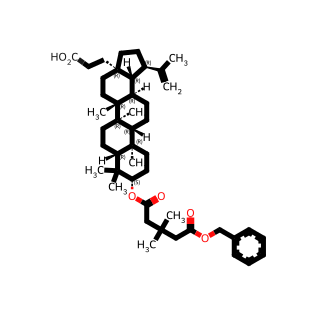 C=C(C)[C@@H]1CC[C@]2(CCC(=O)O)CC[C@]3(C)[C@H](CC[C@@H]4[C@@]5(C)CC[C@H](OC(=O)CC(C)(C)CC(=O)OCc6ccccc6)C(C)(C)[C@@H]5CC[C@]43C)[C@@H]12